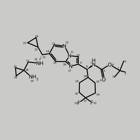 CC(C)(C)OC(=O)N[C@H](c1cn2ncc([C@H](NCC3(N)CC3)C3CC3)cc2n1)C1CCC(F)(F)CC1